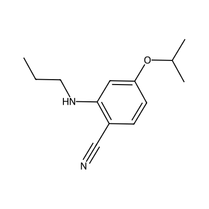 CCCNc1cc(OC(C)C)ccc1C#N